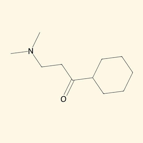 CN(C)CCC(=O)C1CCCCC1